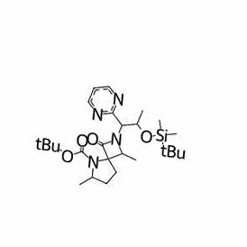 CC(O[Si](C)(C)C(C)(C)C)C(c1ncccn1)N1C(=O)C2(CCC(C)N2C(=O)OC(C)(C)C)C1C